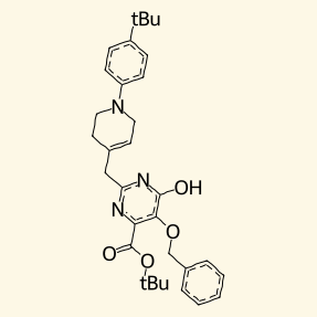 CC(C)(C)OC(=O)c1nc(CC2=CCN(c3ccc(C(C)(C)C)cc3)CC2)nc(O)c1OCc1ccccc1